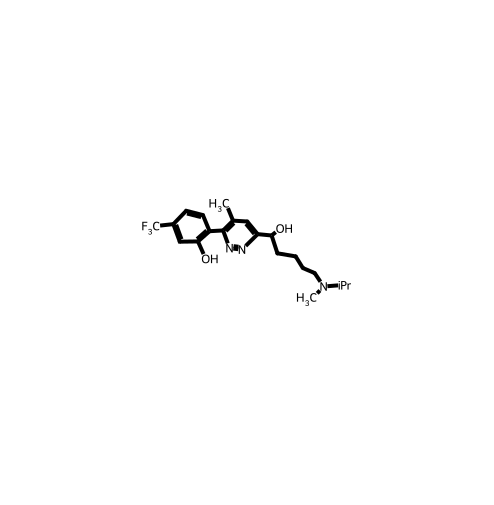 Cc1cc(C(O)CCCCN(C)C(C)C)nnc1-c1ccc(C(F)(F)F)cc1O